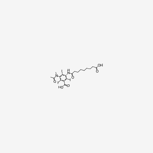 CC(=O)N(C)c1c(I)c(NC(=O)CCCCCCCC(=O)O)c(I)c(C(=O)O)c1I